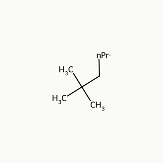 [CH2]C[CH]CC(C)(C)C